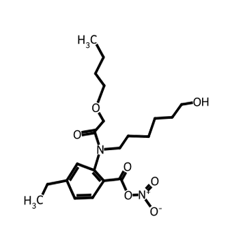 CCCCOCC(=O)N(CCCCCCO)c1cc(CC)ccc1C(=O)O[N+](=O)[O-]